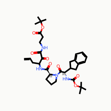 C=CCC(NC(=O)[C@@H]1CCCN1C(=O)[C@@H](NC(=O)OC(C)(C)C)C1Cc2ccccc2C1)C(=O)C(=O)NCCC(=O)OC(C)(C)C